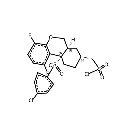 O=S(=O)(Cl)C[C@@H]1CC[C@@]2(S(=O)(=O)c3ccc(Cl)cc3)c3c(F)ccc(F)c3OC[C@H]2C1